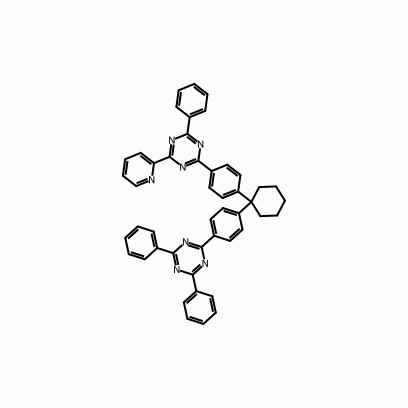 c1ccc(-c2nc(-c3ccccc3)nc(-c3ccc(C4(c5ccc(-c6nc(-c7ccccc7)nc(-c7ccccn7)n6)cc5)CCCCC4)cc3)n2)cc1